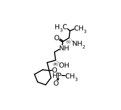 CC(C)[C@H](N)C(=O)NC[C@H](O)CC1(O[PH](C)=O)CCCCC1